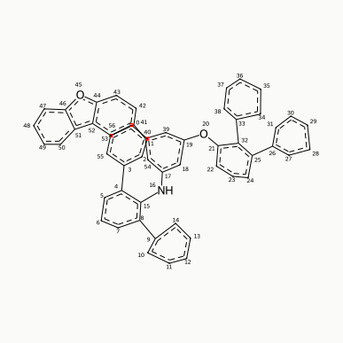 c1ccc(-c2cccc(-c3ccccc3)c2Nc2cc(Oc3cccc(-c4ccccc4)c3-c3ccccc3)cc(-c3ccc4oc5ccccc5c4c3)c2)cc1